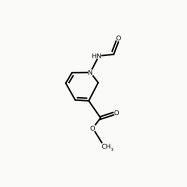 COC(=O)C1=CC=CN(NC=O)C1